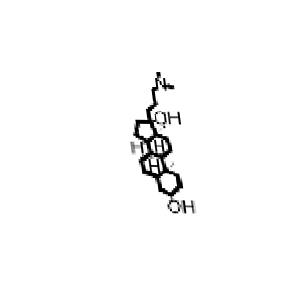 CN(C)CCC[C@]1(O)CC[C@H]2[C@@H]3CC=C4C[C@@H](O)CC[C@]4(C)[C@H]3CC[C@@]21C